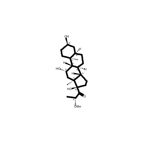 CO[C@H](C)C(=O)[C@@]1(O)CC[C@H]2[C@@H]3CC[C@@H]4C[C@H](O)CC[C@]4(C)[C@H]3[C@@H](O)C[C@@]21C